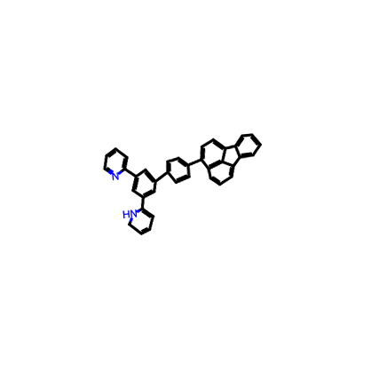 C1=CCNC(c2cc(-c3ccc(-c4ccc5c6c(cccc46)-c4ccccc4-5)cc3)cc(-c3ccccn3)c2)=C1